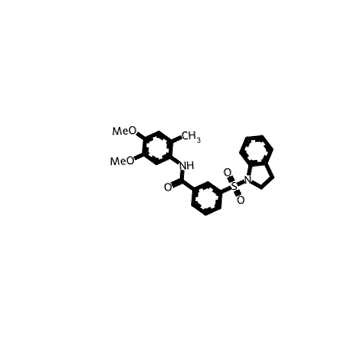 COc1cc(C)c(NC(=O)c2cccc(S(=O)(=O)N3CCc4ccccc43)c2)cc1OC